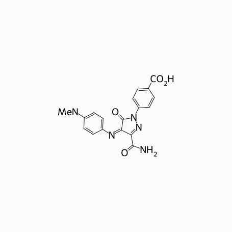 CNc1ccc(N=C2C(=O)N(c3ccc(C(=O)O)cc3)N=C2C(N)=O)cc1